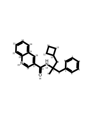 CC(Cc1ccccc1)(CC1CCC1)NC(=O)c1cnc2ccccc2c1